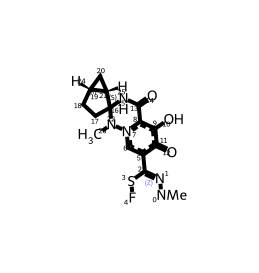 CN/N=C(\SF)c1cn2c(c(O)c1=O)C(=O)NC1(CC[C@@H]3C[C@@H]31)N2C